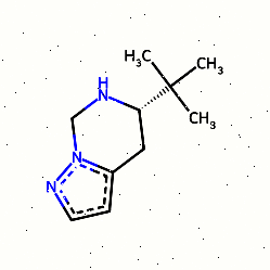 CC(C)(C)[C@@H]1Cc2ccnn2CN1